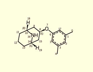 Cc1cc(C)cc(O[C@@H]2C[C@H]3CCC[C@@H](C2)N3)c1